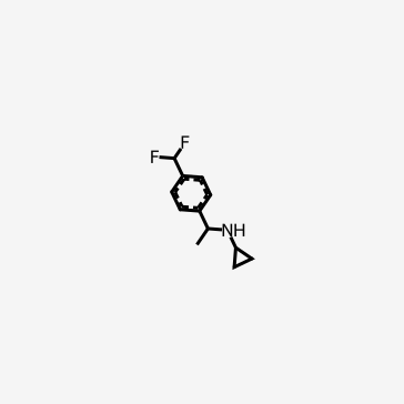 CC(NC1CC1)c1ccc(C(F)F)cc1